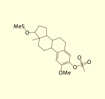 COc1cc2c(cc1OS(C)(=O)=O)CCC1C2CCC2(C)C(OSC)CCC12